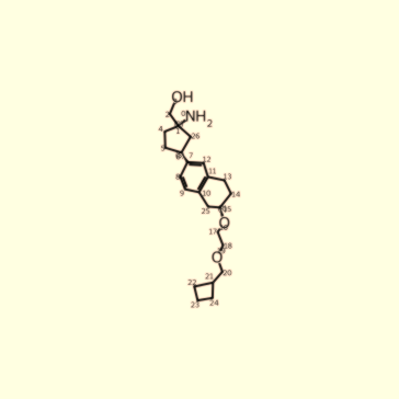 N[C@]1(CO)CC[C@H](c2ccc3c(c2)CC[C@@H](OCCOCC2CCC2)C3)C1